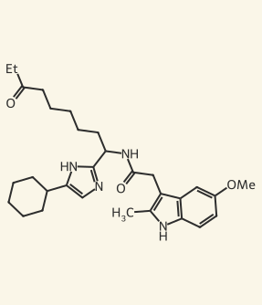 CCC(=O)CCCCCC(NC(=O)Cc1c(C)[nH]c2ccc(OC)cc12)c1ncc(C2CCCCC2)[nH]1